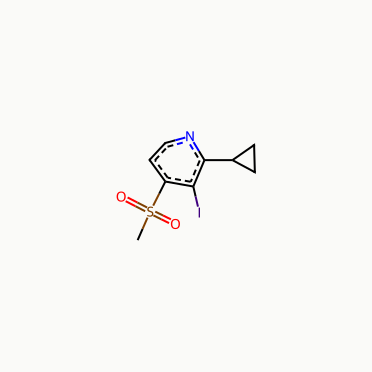 CS(=O)(=O)c1ccnc(C2CC2)c1I